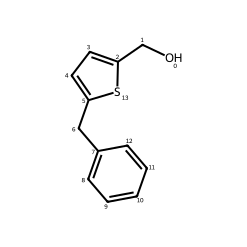 OCc1ccc(Cc2ccccc2)s1